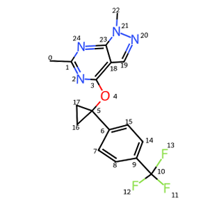 Cc1nc(OC2(c3ccc(C(F)(F)F)cc3)CC2)c2cnn(C)c2n1